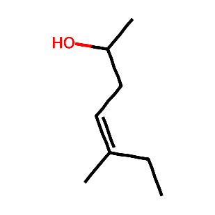 CC/C(C)=C\CC(C)O